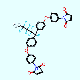 O=C1C=CC(=O)N1c1ccc(Oc2ccc(C(F)(c3ccc(Oc4ccc(N5C(=O)C=CC5=O)cc4)cc3)C(F)(F)C(F)(F)C(F)(F)C(F)(F)F)cc2)cc1